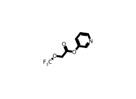 O=C(COC(F)(F)F)Oc1cccnc1